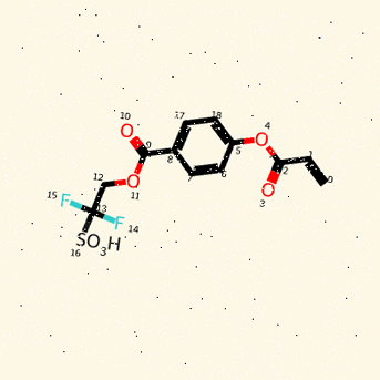 C=CC(=O)Oc1ccc(C(=O)OCC(F)(F)S(=O)(=O)O)cc1